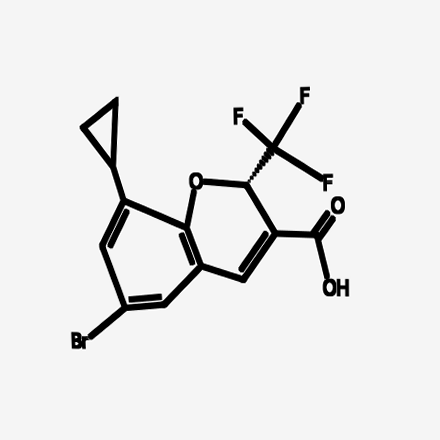 O=C(O)C1=Cc2cc(Br)cc(C3CC3)c2O[C@@H]1C(F)(F)F